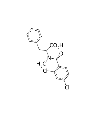 CN(C(=O)c1ccc(Cl)cc1Cl)C(Cc1ccccc1)C(=O)O